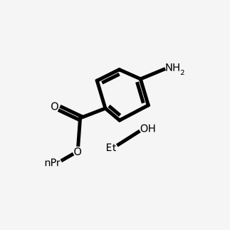 CCCOC(=O)c1ccc(N)cc1.CCO